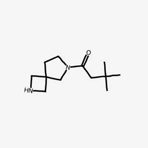 CC(C)(C)CC(=O)N1CCC2(CNC2)C1